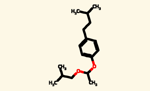 CC(C)CCc1ccc(OC(C)OCC(C)C)cc1